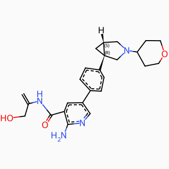 C=C(CO)NC(=O)c1cc(-c2ccc([C@@]34C[C@@H]3CN(C3CCOCC3)C4)cc2)cnc1N